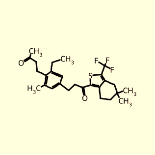 CCc1cc(CCC(=O)c2sc(C(F)(F)F)c3c2CCC(C)(C)C3)cc(C)c1CCC(C)=O